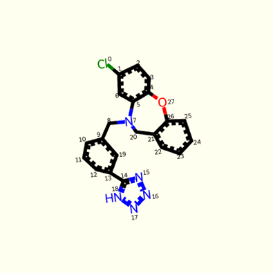 Clc1ccc2c(c1)N(Cc1cccc(-c3nnn[nH]3)c1)Cc1ccccc1O2